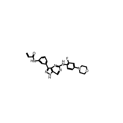 C=CC(=O)Nc1cccc(-c2n[nH]c3cnc(Nc4ccc(N5CCOCC5)cc4F)nc23)c1